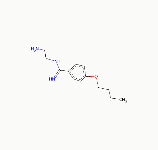 CCCCOc1ccc(C(=N)NCCN)cc1